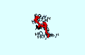 CC(=O)[O-].CC(=O)[O-].CC(=O)[O-].O=C(O)CC[C@H](NC(=O)N[C@@H](CCCCNC(=O)C(Cc1ccc2ccccc2c1)NC(=O)C1CCC(CNC(=O)CCCCC(=O)Nc2ccc(CC3CN(CC(=O)O)CCN(CC(=O)O)CCN3CC(=O)O)cc2)CC1)C(=O)O)C(=O)O.[Ga+3]